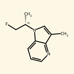 Cc1cn([C@@H](C)CF)c2cccnc12